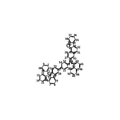 c1ccc([Si](c2ccccc2)(c2ccccc2)c2ccc(-c3ccc(N(c4ccc5c(ccc6c7ccccc7oc56)c4)c4cccc5ccccc45)cc3)cc2)cc1